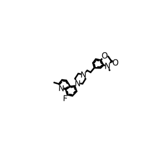 Cc1ccc2c(N3CCN(CCc4ccc5c(c4)N(C)C(=O)CO5)CC3)ccc(F)c2n1